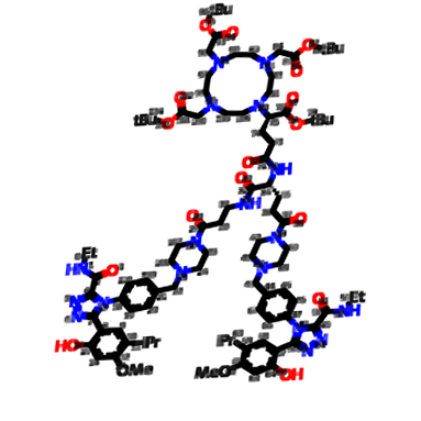 CCNC(=O)c1nnc(-c2cc(C(C)C)c(OC)cc2O)n1-c1ccc(CN2CCN(C(=O)CCNC(=O)[C@@H](CCC(=O)N3CCN(Cc4ccc(-n5c(C(=O)NCC)nnc5-c5cc(C(C)C)c(OC)cc5O)cc4)CC3)NC(=O)CC[C@H](C(=O)OC(C)(C)C)N3CCN(CC(=O)OC(C)(C)C)CCN(CC(=O)OC(C)(C)C)CCN(CC(=O)OC(C)(C)C)CC3)CC2)cc1